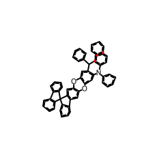 c1ccc(CC(c2ccccc2)c2cc3c(cc2N(c2ccccc2)c2ccccc2)Oc2cc4c(cc2O3)C2(c3ccccc3-c3ccccc32)c2ccccc2-4)cc1